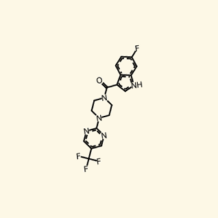 O=C(c1c[nH]c2cc(F)ccc12)N1CCN(c2ncc(C(F)(F)F)cn2)CC1